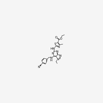 CCOC(=O)c1sc(Nc2nc(NCc3ccc(C#N)cc3)c3c(ncn3CC)n2)nc1C